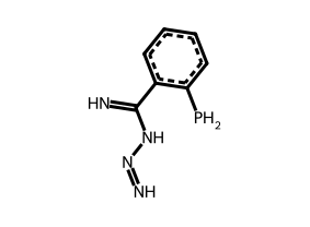 N=NNC(=N)c1ccccc1P